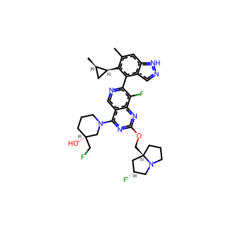 Cc1cc2[nH]ncc2c(-c2ncc3c(N4CCC[C@](O)(CF)C4)nc(OC[C@@]45CCCN4C[C@H](F)C5)nc3c2F)c1[C@H]1C[C@H]1C